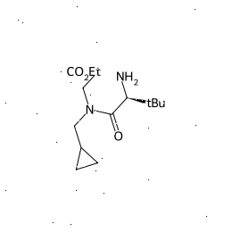 CCOC(=O)CN(CC1CC1)C(=O)[C@@H](N)C(C)(C)C